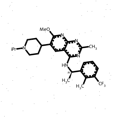 COc1nc2nc(C)nc(N[C@H](C)c3cccc(C(F)(F)F)c3C)c2cc1C1CCN(C(C)C)CC1